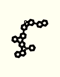 c1ccc(-n2c3cc4c5ccc(-c6ccc7oc8ccc(-c9ccc%10ccccc%10c9)cc8c7c6)cc5c5ccccc5c4cc3c3c4ccccc4ccc32)cc1